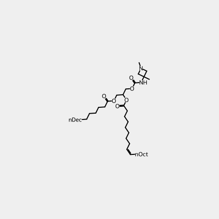 CCCCCCCC/C=C\CCCCCCCC(=O)OC(COC(=O)CCCCCCCCCCCCCCC)COC(=O)NC1(C)CN(C)C1